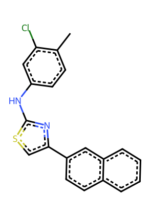 Cc1ccc(Nc2nc(-c3ccc4ccccc4c3)cs2)cc1Cl